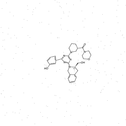 O=C(C1CCCN(c2nc(-c3cccc(O)c3)nc(N3Cc4ccccc4C[C@@H]3CO)n2)C1)N1CCOCC1